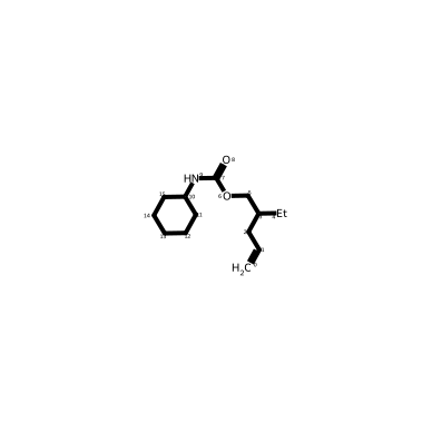 C=CCC(CC)COC(=O)NC1CCCCC1